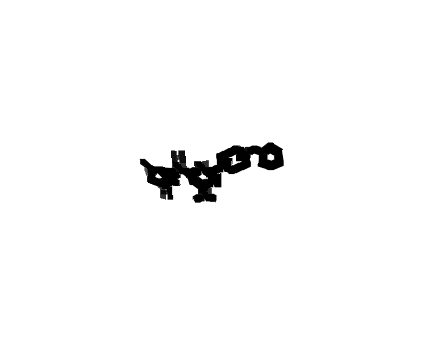 C[C@@H]1C[C@@H]2C[C@@H](Nc3cc(N(C)C)nc(N4CCN(Cc5ccccc5)CC4)n3)C1C2(C)C